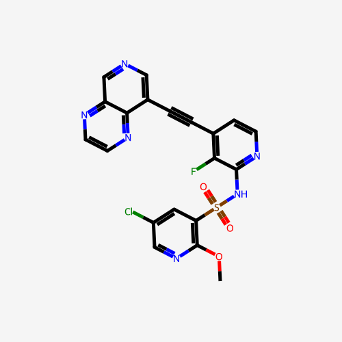 COc1ncc(Cl)cc1S(=O)(=O)Nc1nccc(C#Cc2cncc3nccnc23)c1F